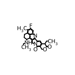 CCNC1CCc2c(C)c(F)cc3nc4c(c1c23)Cn1c-4cc2c(c1=O)COC(=O)C2CC